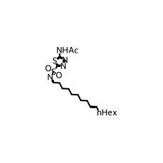 CCCCCC/C=C/CCCCCCC/C=N\S(=O)(=O)c1nnc(NC(C)=O)s1